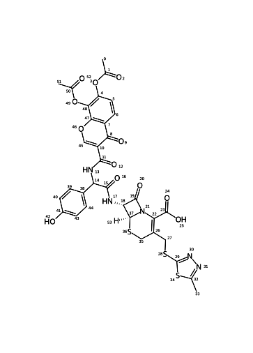 CC(=O)Oc1ccc2c(=O)c(C(=O)NC(C(=O)N[C@@H]3C(=O)N4C(C(=O)O)=C(CSc5nnc(C)s5)CS[C@@H]34)c3ccc(O)cc3)coc2c1OC(C)=O